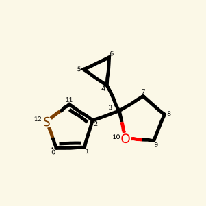 [c]1cc(C2(C3CC3)CCCO2)cs1